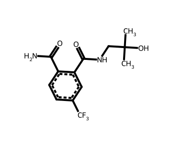 CC(C)(O)CNC(=O)c1cc(C(F)(F)F)ccc1C(N)=O